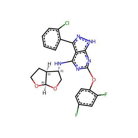 Fc1ccc(Oc2nc(N[C@@H]3CO[C@H]4OCC[C@H]43)c3c(-c4ccccc4Cl)n[nH]c3n2)c(F)c1